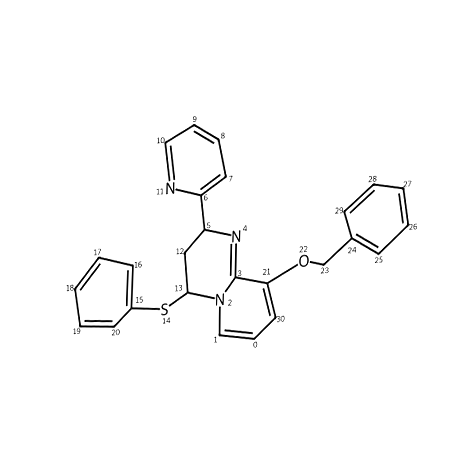 C1=CN2C(=NC(c3ccccn3)CC2Sc2ccccc2)C(OCc2ccccc2)=C1